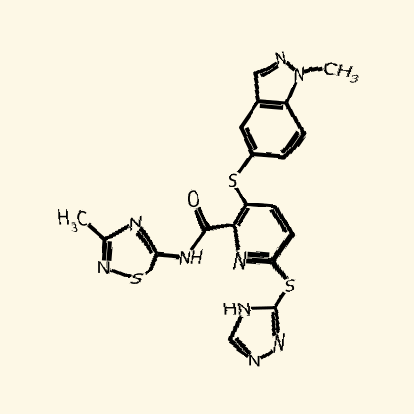 Cc1nsc(NC(=O)c2nc(Sc3nnc[nH]3)ccc2Sc2ccc3c(cnn3C)c2)n1